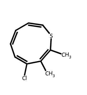 Cc1scccccc(Cl)c1C